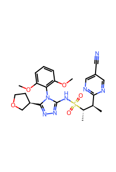 COc1cccc(OC)c1-n1c(NS(=O)(=O)[C@@H](C)[C@H](C)c2ncc(C#N)cn2)nnc1[C@@H]1CCOC1